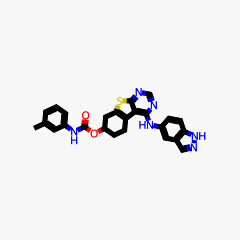 Cc1cccc(NC(=O)OC2CCc3c(sc4ncnc(Nc5ccc6[nH]ncc6c5)c34)C2)c1